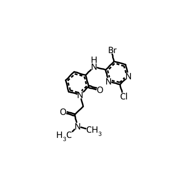 CN(C)C(=O)Cn1cccc(Nc2nc(Cl)ncc2Br)c1=O